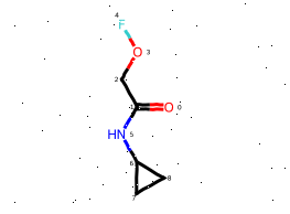 O=C(COF)NC1CC1